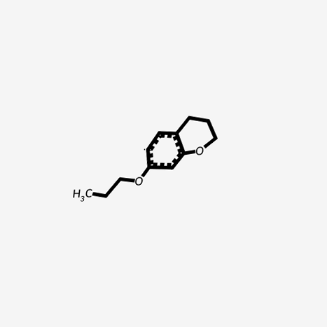 CCCOc1[c]cc2c(c1)OCCC2